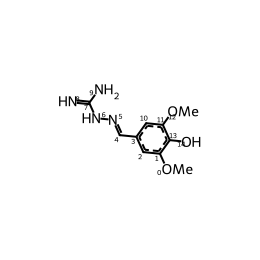 COc1cc(C=NNC(=N)N)cc(OC)c1O